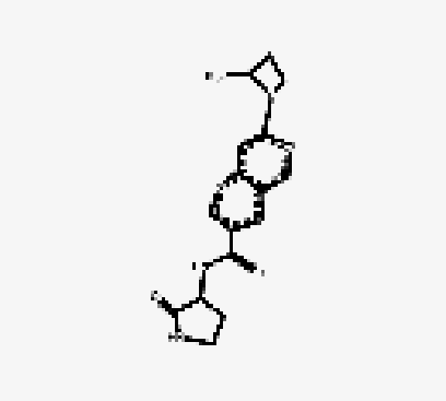 CC1CCN1c1cc2ncc(C(=O)NC3CCNC3=O)cc2cn1